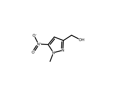 Cn1nc(CO)cc1[N+](=O)[O-]